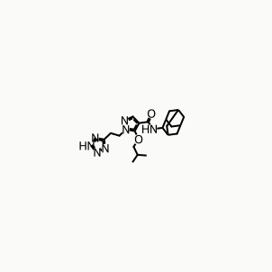 CC(C)COc1c(C(=O)NC2C3CC4CC(C3)CC2C4)cnn1CCc1nn[nH]n1